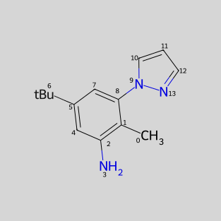 Cc1c(N)cc(C(C)(C)C)cc1-n1cccn1